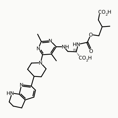 Cc1nc(NC[C@H](NC(=O)OCC(C)CC(=O)O)C(=O)O)c(C)c(N2CCC(c3ccc4c(n3)NCCC4)CC2)n1